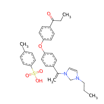 C=C(c1ccc(Oc2ccc(C(=O)CC)cc2)cc1)N1C=CN(CCC)C1.Cc1ccc(S(=O)(=O)O)cc1